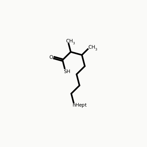 CCCCCCCCCCCC(C)C(C)C(=O)S